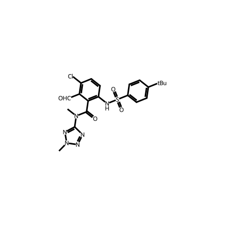 CN(C(=O)c1c(NS(=O)(=O)c2ccc(C(C)(C)C)cc2)ccc(Cl)c1C=O)c1nnn(C)n1